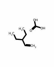 C=CC(CC)CC.O=C(O)O